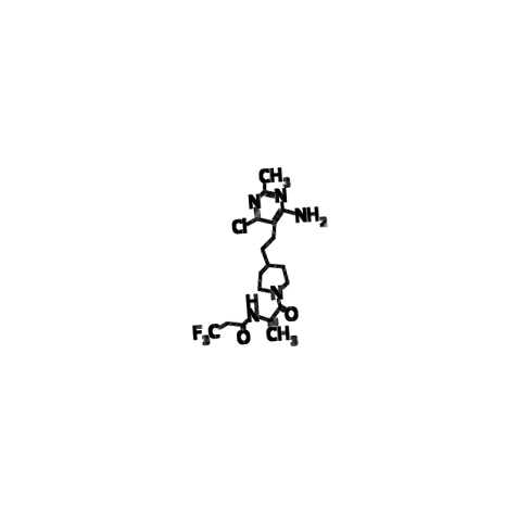 Cc1nc(N)c(CCC2CCN(C(=O)[C@H](C)NC(=O)CC(F)(F)F)CC2)c(Cl)n1